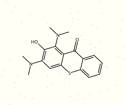 CN(C)c1cc2sc3ccccc3c(=O)c2c(N(C)C)c1O